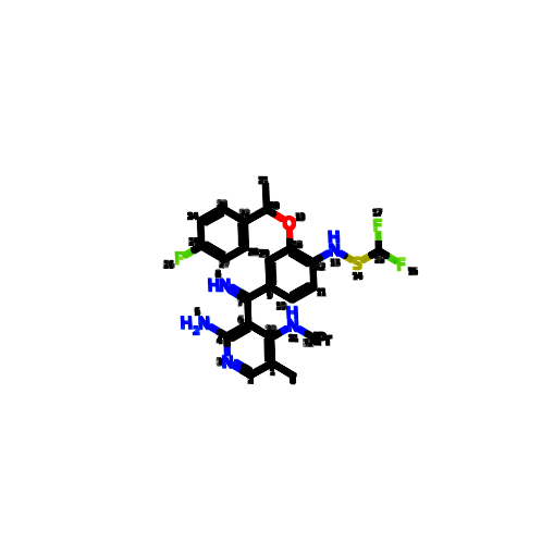 Cc1cnc(N)c(C(=N)c2ccc(NSC(F)F)c(OC(C)c3ccc(F)cc3)c2)c1NC(C)C